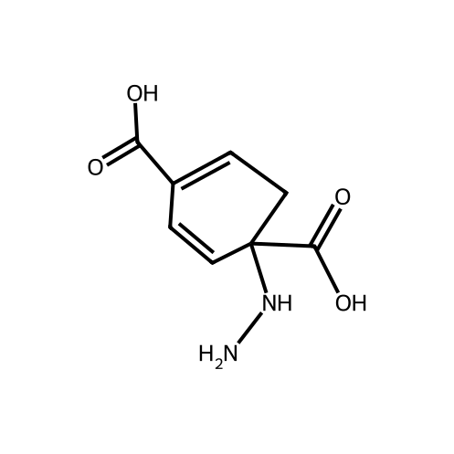 NNC1(C(=O)O)C=CC(C(=O)O)=CC1